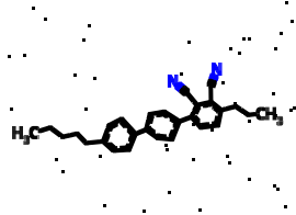 CCCCCc1ccc(-c2ccc(-c3ccc(CCC)c(C#N)c3C#N)cc2)cc1